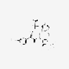 CC(C)(ON=C(C(=O)N[C@@H]1C(=O)N(S(=O)(=O)O)[C@@H]1Cn1cncn1)c1csc(N)n1)C(=O)O